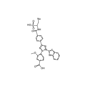 COc1cc(C(=O)O)ccc1-[n+]1nc(-c2ccc(C(=O)NC([CH2][Na])S(=O)(=O)O)cc2)nn1-c1nc2ccccc2s1